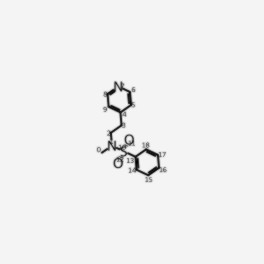 CN(CCc1ccncc1)S(=O)(=O)c1ccccc1